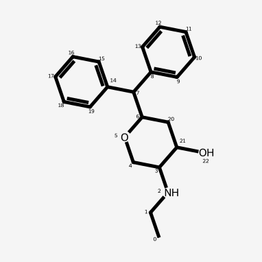 CCNC1COC(C(c2ccccc2)c2ccccc2)CC1O